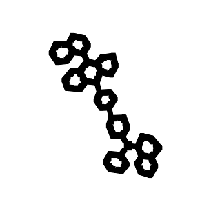 c1ccc(N(c2ccc(-c3ccc(-c4c5ccccc5c(-c5cccc6ccccc56)c5ccccc45)cc3)cc2)c2cccc3ccccc23)cc1